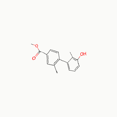 COC(=O)c1ccc(-c2cccc(O)c2C)c(C)c1